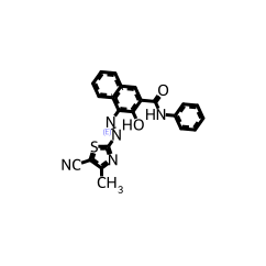 Cc1nc(/N=N/c2c(O)c(C(=O)Nc3ccccc3)cc3ccccc23)sc1C#N